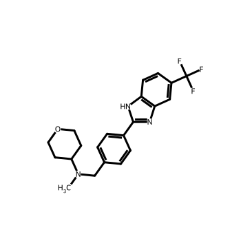 CN(Cc1ccc(-c2nc3cc(C(F)(F)F)ccc3[nH]2)cc1)C1CCOCC1